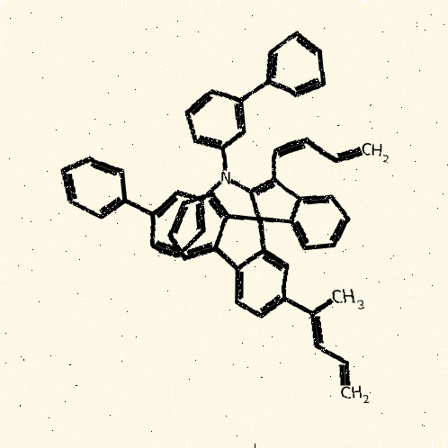 C=C/C=C\C1=C(N(c2cccc(-c3ccccc3)c2)c2cccc(-c3ccccc3)c2)C2(c3ccccc31)c1ccccc1-c1ccc(/C(C)=C/C=C)cc12